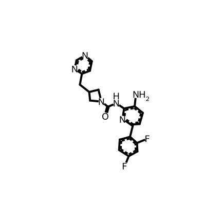 Nc1ccc(-c2ccc(F)cc2F)nc1NC(=O)N1CC(Cc2ccncn2)C1